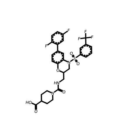 O=C(O)C1CCN(C(=O)NCC2CN(S(=O)(=O)c3cccc(C(F)(F)F)c3)c3cc(-c4cc(F)ccc4F)ccc3O2)CC1